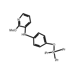 COc1ncccc1Nc1ccc(O[Si](C(C)C)(C(C)C)C(C)C)cc1